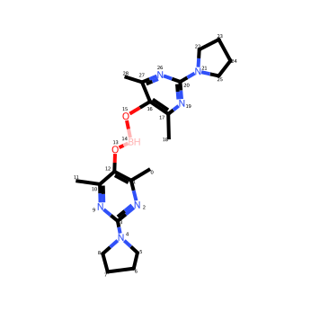 Cc1nc(N2CCCC2)nc(C)c1OBOc1c(C)nc(N2CCCC2)nc1C